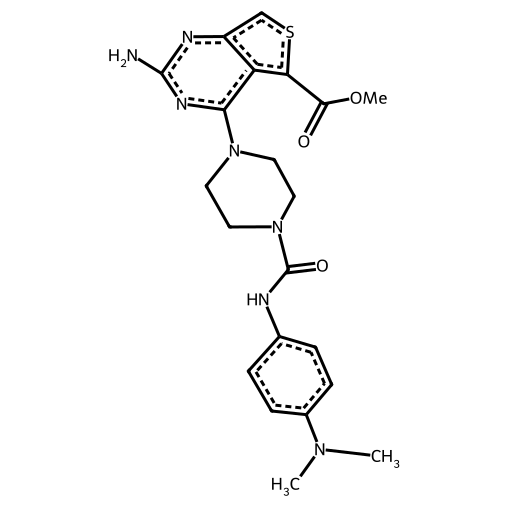 COC(=O)c1scc2nc(N)nc(N3CCN(C(=O)Nc4ccc(N(C)C)cc4)CC3)c12